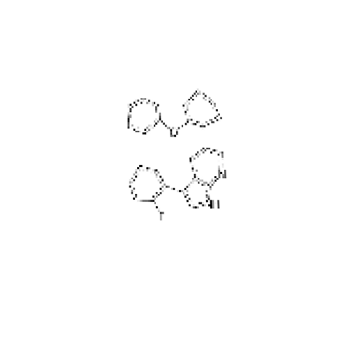 Fc1ccccc1-c1c[nH]c2ncc(-c3ccccc3Oc3ccccc3)cc12